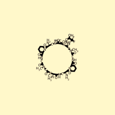 CC(C)[C@H]1C(=O)NC[C@@H](N)C(=O)N2CCCC[C@H]2C(=O)NCC(=O)N(C)CC(=O)N(C)C(C)(C)C(=O)NC[C@@H](N)C(=O)N2CCCC[C@H]2C(=O)NCC(=O)N(C)CC(=O)N1C.O=C(O)C(F)(F)F